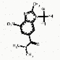 [2H]C([2H])([2H])n1c(C)nc2c([N+](=O)[O-])cc(C(=O)N(C)C)cc21